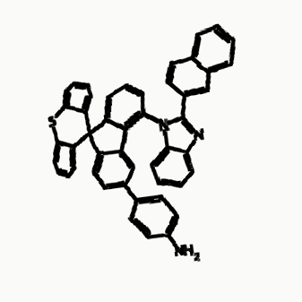 Nc1ccc(-c2ccc3c(c2)-c2c(-n4c(-c5ccc6ccccc6c5)nc5ccccc54)cccc2C32c3ccccc3Sc3ccccc32)cc1